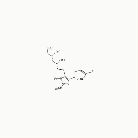 CC(=O)Nc1nc(-c2ccc(F)cc2)c(CCC(O)CC(O)CC(=O)O)n1C(C)C